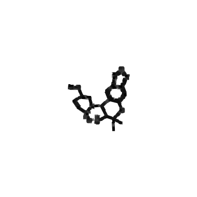 COC1=CN(C2c3cc4nonc4cc3OC(C)(C)C2O)[NH+]([O-])C=C1